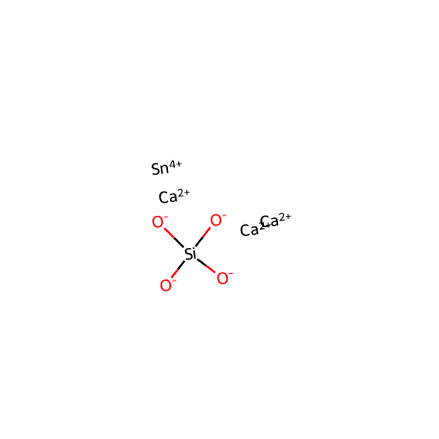 [Ca+2].[Ca+2].[Ca+2].[O-][Si]([O-])([O-])[O-].[Sn+4]